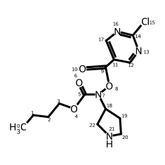 CCCCOC(=O)N(OC(=O)c1cnc(Cl)nc1)C1CCNC1